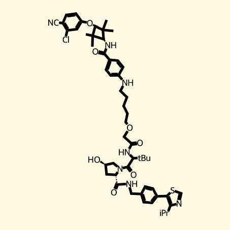 CC(C)c1ncsc1-c1ccc(CNC(=O)[C@@H]2C[C@@H](O)CN2C(=O)C(NC(=O)COCCCCCNc2ccc(C(=O)N[C@H]3C(C)(C)[C@H](Oc4ccc(C#N)c(Cl)c4)C3(C)C)cc2)C(C)(C)C)cc1